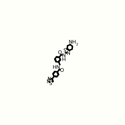 N[C@@H]1CCc2nc(NC(=O)c3cccc(CNC(=O)c4ccc(-c5csnn5)cc4)c3)sc2C1